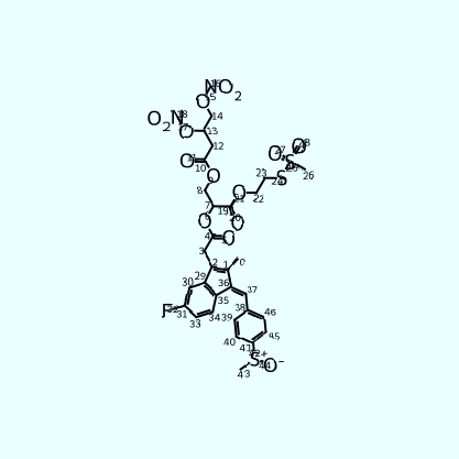 CC1=C(CC(=O)OC(COC(=O)CC(CO[N+](=O)[O-])O[N+](=O)[O-])C(=O)OCCSS(C)(=O)=O)c2cc(F)ccc2/C1=C\c1ccc([S+](C)[O-])cc1